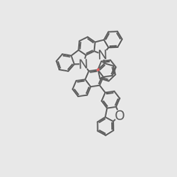 c1ccc(-n2c3ccccc3c3ccc4c5ccccc5n(-c5c6ccccc6c(-c6ccc7oc8ccccc8c7c6)c6ccccc56)c4c32)cc1